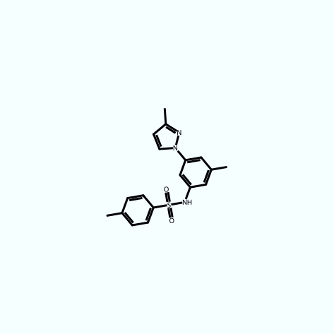 Cc1ccc(S(=O)(=O)Nc2cc(C)cc(-n3ccc(C)n3)c2)cc1